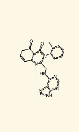 Cc1ccccc1-n1c(CNc2ncnc3[nH]cnc23)nc2c(c1=O)C(=O)CC=C2